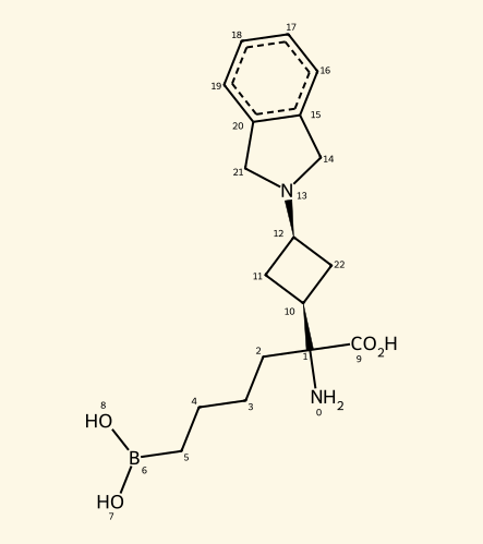 NC(CCCCB(O)O)(C(=O)O)[C@H]1C[C@@H](N2Cc3ccccc3C2)C1